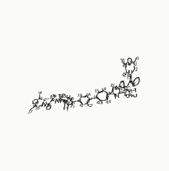 CC1CN(C(=O)C(=O)NC(c2nc(-c3ccc(-c4ccc(-c5c[nH]c(C(NC(=O)C(=O)N6CC(C)OC(C)C6)C(C)(C)C)n5)cc4)cc3)c[nH]2)C(C)(C)C)CC(C)O1